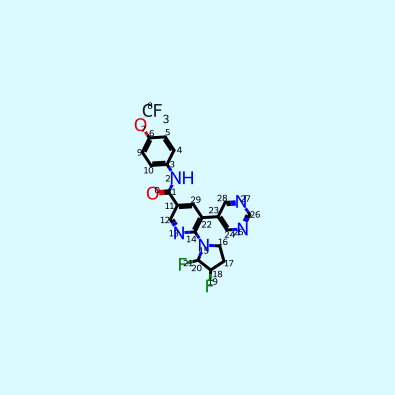 O=C(Nc1ccc(OC(F)(F)F)cc1)c1cnc(N2CCC(F)C2F)c(-c2cncnc2)c1